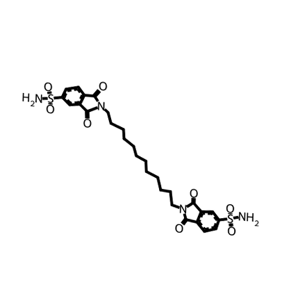 NS(=O)(=O)c1ccc2c(c1)C(=O)N(CCCCCCCCCCCCN1C(=O)c3ccc(S(N)(=O)=O)cc3C1=O)C2=O